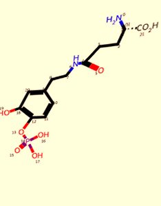 N[C@@H](CCC(=O)NCCc1ccc(OP(=O)(O)O)c(O)c1)C(=O)O